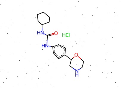 Cl.O=C(Nc1ccc(C2CNCCO2)cc1)NC1CCCCC1